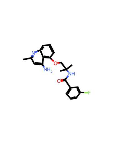 Cc1cc(N)c2c(OCC(C)(C)NC(=O)c3cccc(F)c3)cccc2n1